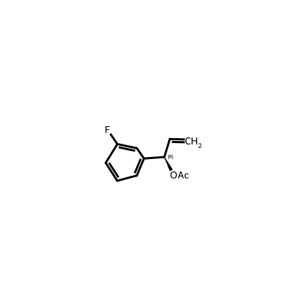 C=C[C@@H](OC(C)=O)c1cccc(F)c1